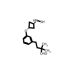 CC(C)(C=O)CCc1cccc(O[C@H]2C[C@H](NS)C2)c1